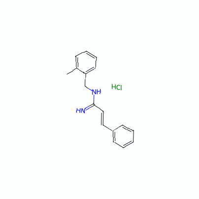 Cc1ccccc1CNC(=N)/C=C/c1ccccc1.Cl